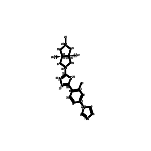 Cc1cc(-n2ccnc2)ccc1-c1nnc(N2C[C@H]3CN(C)C[C@H]3C2)s1